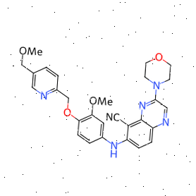 COCc1ccc(COc2ccc(Nc3ccc4ncc(N5CCOCC5)nc4c3C#N)cc2OC)nc1